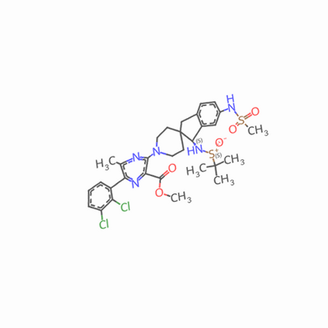 COC(=O)c1nc(-c2cccc(Cl)c2Cl)c(C)nc1N1CCC2(CC1)Cc1ccc(NS(C)(=O)=O)cc1[C@H]2N[S@+]([O-])C(C)(C)C